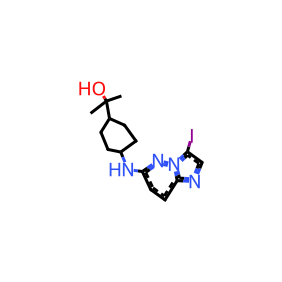 CC(C)(O)C1CCC(Nc2ccc3ncc(I)n3n2)CC1